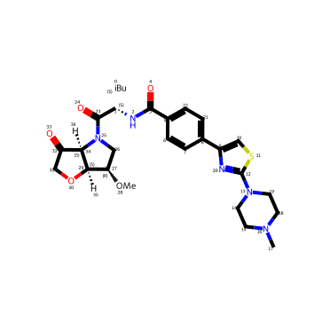 CC[C@H](C)[C@H](NC(=O)c1ccc(-c2csc(N3CCN(C)CC3)n2)cc1)C(=O)N1C[C@@H](OC)[C@H]2OCC(=O)[C@H]21